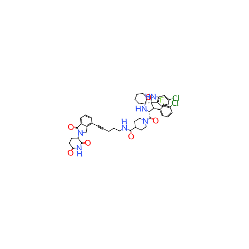 O=C1CCC(N2Cc3c(C#CCCCNC(=O)C4CCN(C(=O)[C@@H]5NC6(CCCCC6)[C@@]6(C(=O)Nc7cc(Cl)ccc76)[C@H]5c5cccc(Cl)c5F)CC4)cccc3C2=O)C(=O)N1